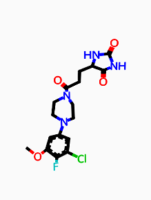 COc1cc(N2CCN(C(=O)CCC3NC(=O)NC3=O)CC2)cc(Cl)c1F